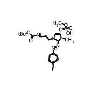 CN1C=CN(CCCNC(=O)OC(C)(C)C)C1/N=N/c1ccc(F)cc1.COS(=O)(=O)O